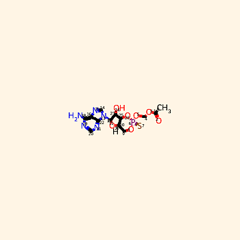 CC(=O)OCOP1(=S)OC[C@H]2O[C@@H](n3cnc4c(N)ncnc43)C(O)C2O1